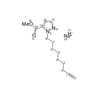 C#CCCCCCCCn1nccc1C(=O)OC.[H-].[Na+]